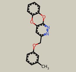 Cc1cccc(OCc2cc3c(nn2)Oc2ccccc2O3)c1